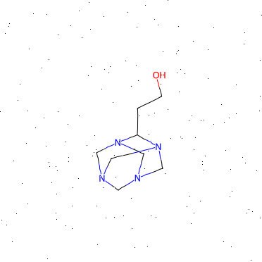 OCCC1N2CN3CN(C2)CN1C3